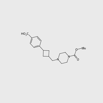 CC(C)(C)OC(=O)N1CCN(CC2CC(c3ccc(C(=O)O)cc3)C2)CC1